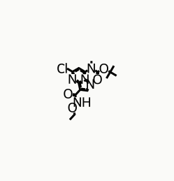 CCONC(=O)c1cnn2c(N(C)C(=O)OC(C)(C)C)cc(Cl)nc12